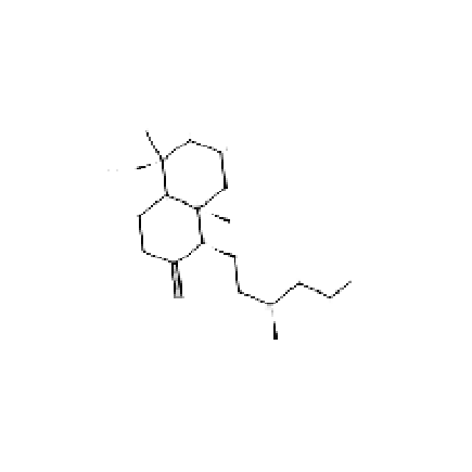 C=C1CCC2[C@](C)(CCC[C@]2(C)C(=O)O)[C@H]1CC[C@H](C)CCO